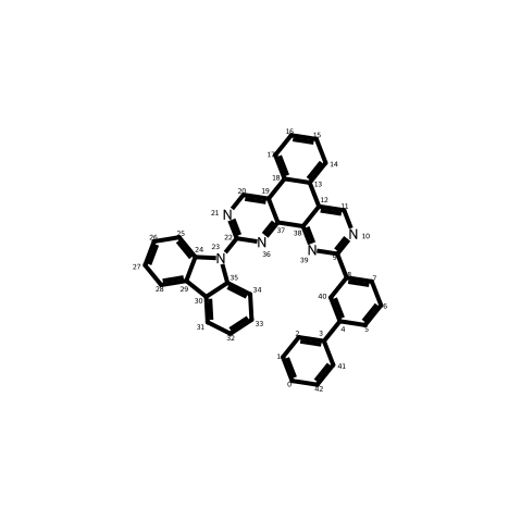 c1ccc(-c2cccc(-c3ncc4c5ccccc5c5cnc(-n6c7ccccc7c7ccccc76)nc5c4n3)c2)cc1